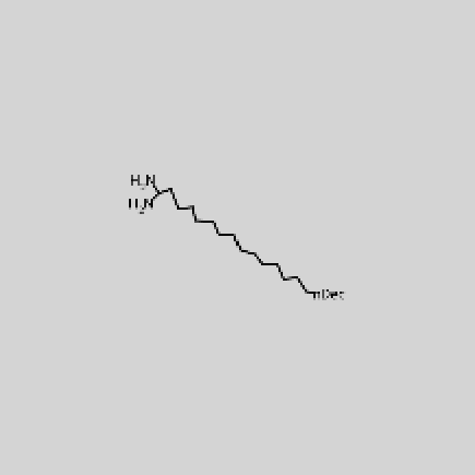 CCCCCCCCCCCCCCCCCCCCCCCCC(N)N